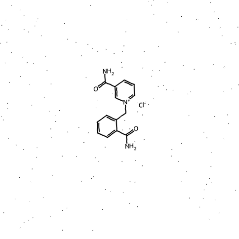 NC(=O)c1ccc[n+](Cc2ccccc2C(N)=O)c1.[Cl-]